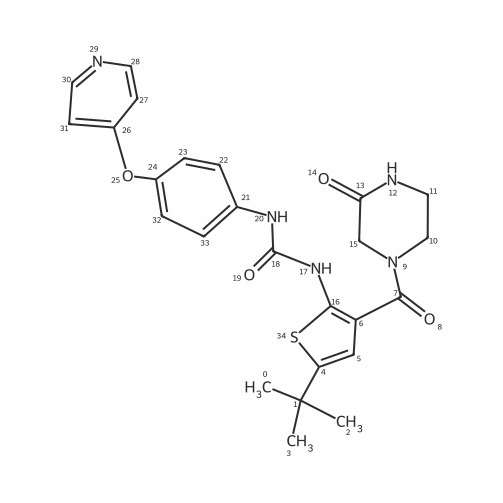 CC(C)(C)c1cc(C(=O)N2CCNC(=O)C2)c(NC(=O)Nc2ccc(Oc3ccncc3)cc2)s1